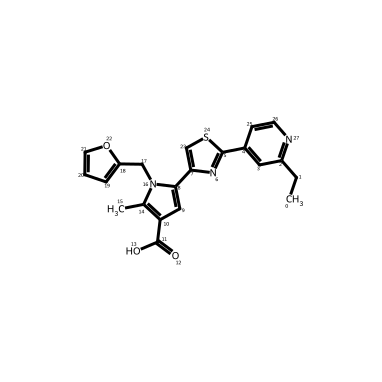 CCc1cc(-c2nc(-c3cc(C(=O)O)c(C)n3Cc3ccco3)cs2)ccn1